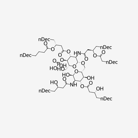 CCCCCCCCCCCCCC(=O)O[C@H](CCCCCCCCCCC)CC(=O)O[C@@H]1[C@@H](NC(=O)C[C@@H](CCCCCCCCCCC)OC(=O)CCCCCCCCCCC)[C@H](OC[C@H]2O[C@H](O)[C@H](NC(=O)C[C@H](O)CCCCCCCCCCC)[C@@H](OC(=O)C[C@H](O)CCCCCCCCCCC)[C@@H]2O)O[C@H](CO)[C@H]1OP(=O)(O)O